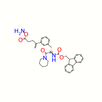 C=C(CCC(=O)ON)c1cccc(C[C@H](NC(=O)OCC2c3ccccc3-c3ccccc32)C(=O)N2CCCCC2)c1